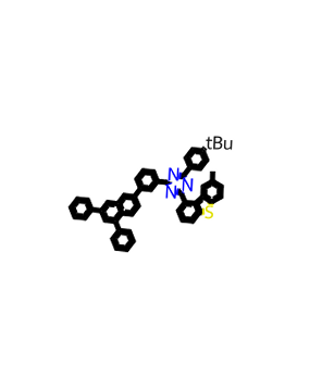 Cc1ccc2sc3cccc(-c4nc(-c5ccc(C(C)(C)C)cc5)nc(-c5cccc(-c6ccc7c(-c8ccccc8)cc(-c8ccccc8)cc7c6)c5)n4)c3c2c1